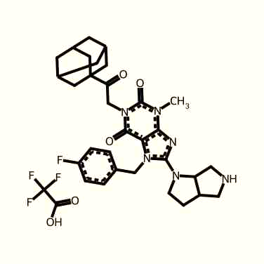 Cn1c(=O)n(CC(=O)C23CC4CC(CC(C4)C2)C3)c(=O)c2c1nc(N1CCC3CNCC31)n2Cc1ccc(F)cc1.O=C(O)C(F)(F)F